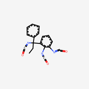 CCC(N=C=O)(c1ccccc1)c1cccc(N=C=O)c1N=C=O